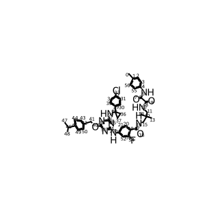 Cc1ccc(NC(=O)C(=O)NCC(C)(C)CNC(=O)c2ccc(Nc3nc(NC4(c5ccc(Cl)cc5)CC4)nc(OCc4ccc(C(C)C)cc4)n3)cc2F)cc1